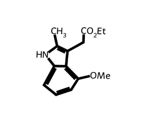 CCOC(=O)Cc1c(C)[nH]c2cccc(OC)c12